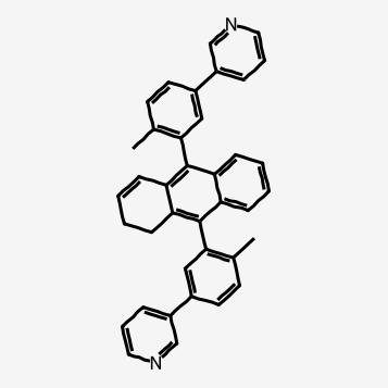 Cc1ccc(-c2cccnc2)cc1-c1c2c(c(-c3cc(-c4cccnc4)ccc3C)c3ccccc13)CCC=C2